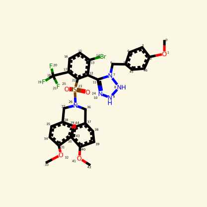 COc1ccc(CN2NNN=C2c2c(Br)ccc(C(F)(F)F)c2S(=O)(=O)N(Cc2ccc(OC)cc2)Cc2ccc(OC)cc2)cc1